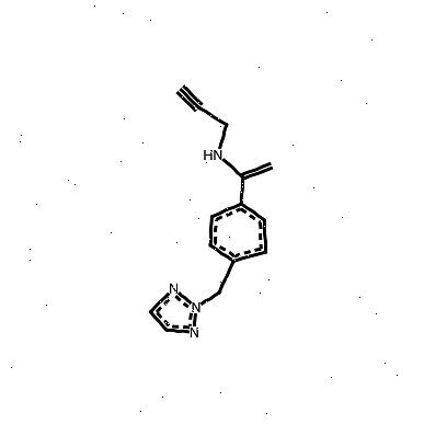 C#CCNC(=C)c1ccc(Cn2nccn2)cc1